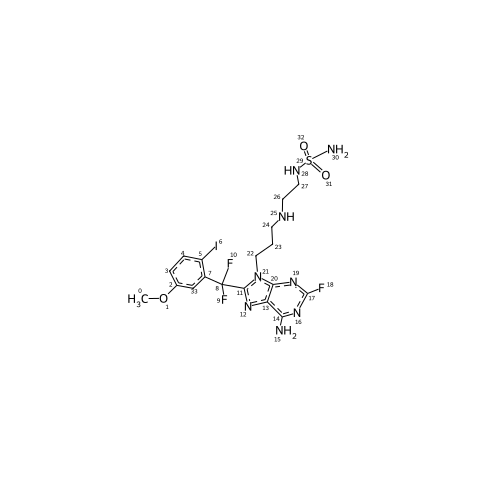 COc1ccc(I)c(C(F)(F)c2nc3c(N)nc(F)nc3n2CCCNCCNS(N)(=O)=O)c1